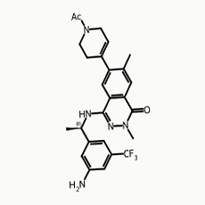 CC(=O)N1CC=C(c2cc3c(N[C@H](C)c4cc(N)cc(C(F)(F)F)c4)nn(C)c(=O)c3cc2C)CC1